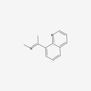 C/N=C(\C)c1cccc2cccnc12